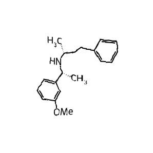 COc1cccc([C@@H](C)N[C@H](C)CCc2ccccc2)c1